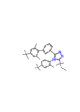 CCC(C)(C)c1nnc(-c2cccc(-c3c(C)cc(C(C)(C)C)cc3C)c2)n1-c1ccc(C(C)(C)C)cc1C